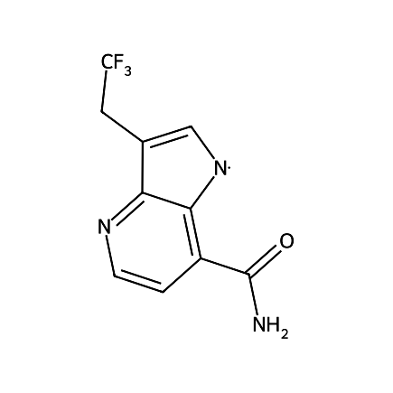 NC(=O)c1ccnc2c1[N]C=C2CC(F)(F)F